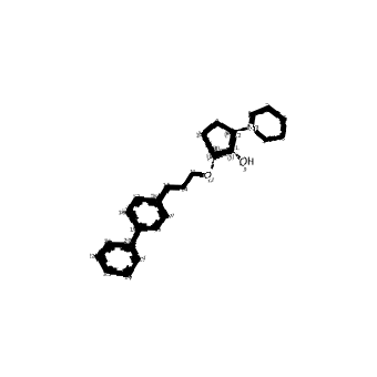 O[C@H]1[C@H](N2CCCCC2)CC[C@H]1OCCCc1ccc(-c2ccccc2)cc1